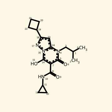 CC(C)Cn1c(=O)c(C(=O)NC2CC2)c(O)n2nc(C3CCC3)cc12